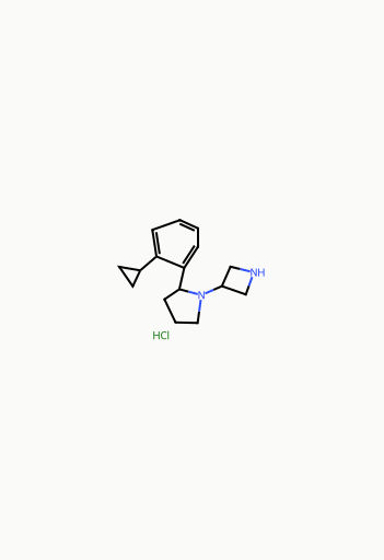 Cl.c1ccc(C2CCCN2C2CNC2)c(C2CC2)c1